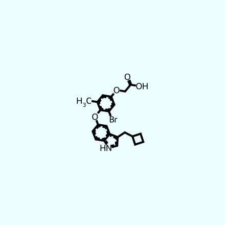 Cc1cc(OCC(=O)O)cc(Br)c1Oc1ccc2[nH]cc(CC3CCC3)c2c1